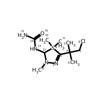 CN1N=C(C(C)(C)CCl)S(C)(C)C1NC(N)=O